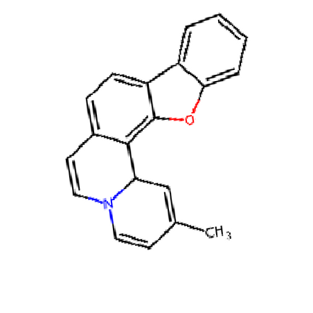 CC1=CC2c3c(ccc4c3oc3ccccc34)C=CN2C=C1